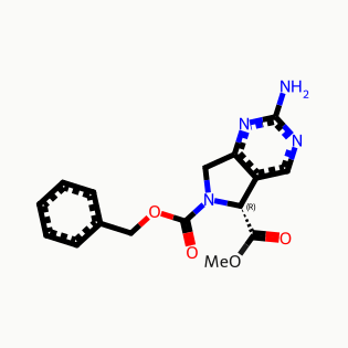 COC(=O)[C@H]1c2cnc(N)nc2CN1C(=O)OCc1ccccc1